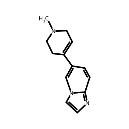 CN1CC=C(c2ccc3nccn3c2)CC1